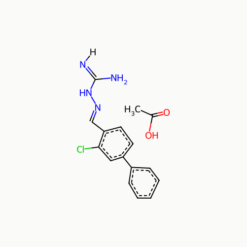 CC(=O)O.[H]/N=C(\N)NN=Cc1ccc(-c2ccccc2)cc1Cl